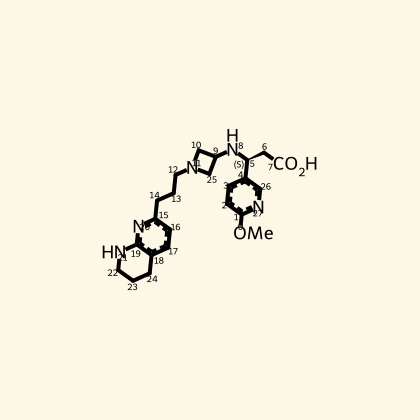 COc1ccc([C@H](CC(=O)O)NC2CN(CCCc3ccc4c(n3)NCCC4)C2)cn1